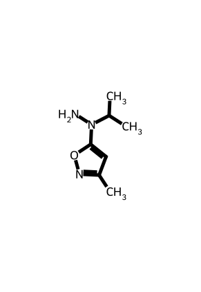 Cc1cc(N(N)C(C)C)on1